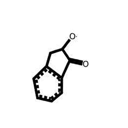 [O]C1Cc2ccccc2C1=O